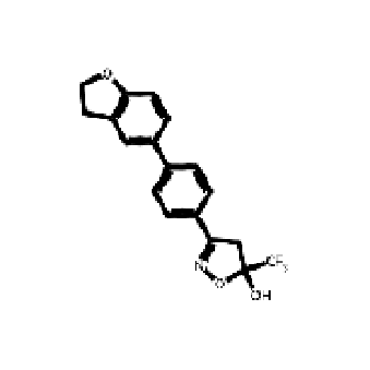 OC1(C(F)(F)F)CC(c2ccc(-c3ccc4c(c3)CCO4)cc2)=NO1